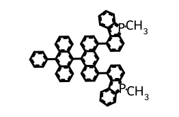 Cp1c2ccccc2c2c(-c3cccc4c(-c5c6ccccc6c(-c6ccccc6)c6ccccc56)c5cccc(-c6cccc7c6c6ccccc6p7C)c5cc34)cccc21